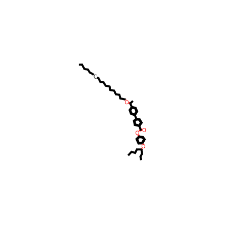 CCCCCCCCCCCCCCCCCCOC(C)c1ccc(-c2ccc(C(=O)Oc3ccc(OC(CCC)CCCC)cc3)cc2)cc1